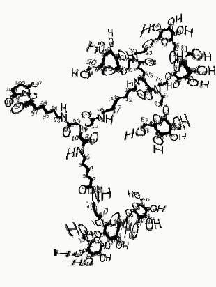 O=C(CCCCCNC(=O)CN(CC(=O)NCCCCCC(=O)N[C@@H](CCC(=O)N(CCO[C@H]1O[C@H](CO)[C@@H](O)[C@H](O)[C@@H]1O)CCO[C@H]1O[C@H](CO)[C@@H](O)[C@H](O)[C@@H]1O)C(=O)N(CCO[C@H]1O[C@H](CO)[C@@H](O)[C@H](O)[C@@H]1O)CCO[C@H]1O[C@H](CO)[C@@H](O)[C@H](O)[C@@H]1O)CC(=O)NCCCCCC(=O)ON1C(=O)CCC1=O)NCCO[C@H]1O[C@H](CO[C@H]2O[C@H](CO)[C@@H](O)[C@H](O)[C@@H]2O)[C@@H](O)[C@H](O[C@H]2O[C@H](CO)[C@@H](O)[C@H](O)[C@@H]2O)[C@@H]1O